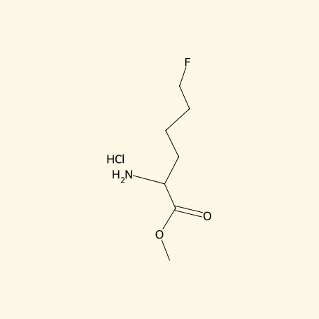 COC(=O)C(N)CCCCF.Cl